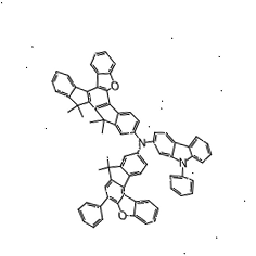 CC1(C)c2cc(N(c3ccc4c(c3)C(C)(C)c3c5c(c6c(oc7ccccc76)c3-4)-c3ccccc3C5(C)C)c3ccc4c5ccccc5n(-c5ccccc5)c4c3)ccc2-c2c1cc(-c1ccccc1)c1oc3ccccc3c21